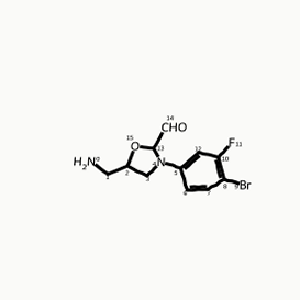 NCC1CN(c2ccc(Br)c(F)c2)C(C=O)O1